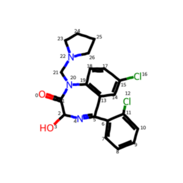 O=C1C(O)N=C(c2ccccc2Cl)c2cc(Cl)ccc2N1CN1CCCC1